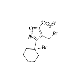 CCOC(=O)c1onc(C2(Br)CCCCC2)c1CBr